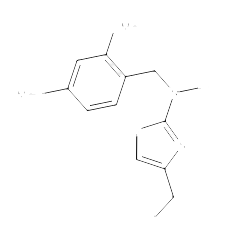 COc1ccc(CN(C(=O)O)c2nc(CI)cs2)c(OC)c1